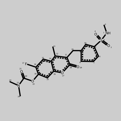 CNS(=O)(=O)c1cccc(Cc2c(C)c3cc(F)c(OC(=O)N(C)C)cc3oc2=O)c1